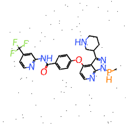 CPn1nc(C2CCCNC2)c2c(Oc3ccc(C(=O)Nc4cc(C(F)(F)F)ccn4)cc3)ccnc21